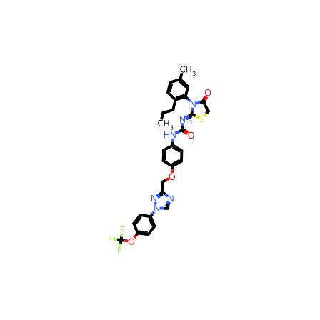 CCCc1ccc(C)cc1N1C(=O)CS/C1=N\C(=O)Nc1ccc(OCc2ncn(-c3ccc(OC(F)(F)F)cc3)n2)cc1